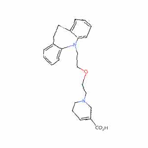 O=C(O)C1=CCCN(CCOCCN2c3ccccc3CCc3ccccc32)C1